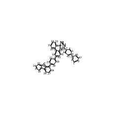 c1ccc(-c2ccc(-c3nnc4c5ccccc5c5cc(-c6ccc(-c7cccc8c7sc7ccccc78)cc6)ccc5n34)cc2)cc1